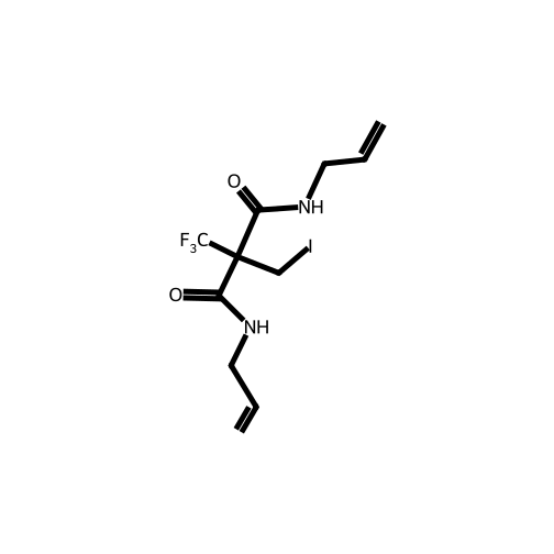 C=CCNC(=O)C(CI)(C(=O)NCC=C)C(F)(F)F